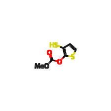 COC(=O)Oc1sccc1S